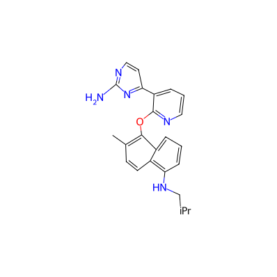 Cc1ccc2c(NCC(C)C)cccc2c1Oc1ncccc1-c1ccnc(N)n1